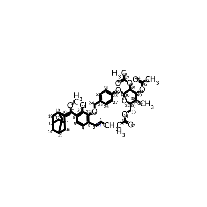 C/C=C/c1ccc(C(OC)=C2C3CC4CC(C3)CC2C4)c(Cl)c1OCc1ccc(O[C@@H]2O[C@H](COC(C)=O)[C@H](C)[C@H](OC(C)=O)C2OC(C)=O)cc1